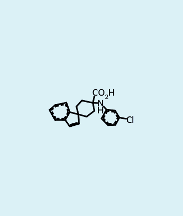 O=C(O)C1(Nc2cccc(Cl)c2)CCC2(C=Cc3ccccc32)CC1